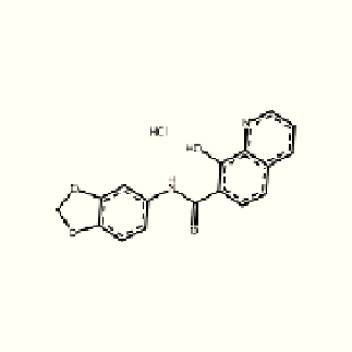 Cl.O=C(Nc1ccc2c(c1)OCO2)c1ccc2cccnc2c1O